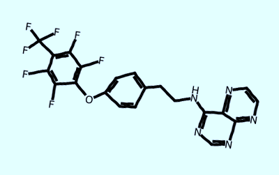 Fc1c(F)c(C(F)(F)F)c(F)c(F)c1Oc1ccc(CCNc2ncnc3nccnc23)cc1